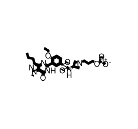 CCCc1nn(C)c2c(=O)[nH]c(-c3cc(S(=O)(=O)NC4CN(CCCO[N+](=O)[O-])C4)ccc3OCC)nc12